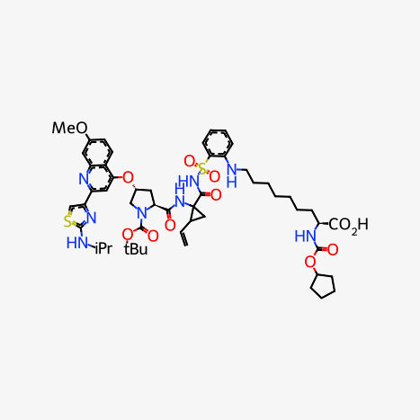 C=CC1CC1(NC(=O)[C@@H]1C[C@@H](Oc2cc(-c3csc(NC(C)C)n3)nc3cc(OC)ccc23)CN1C(=O)OC(C)(C)C)C(=O)NS(=O)(=O)c1ccccc1NCCCCCCC[C@H](NC(=O)OC1CCCC1)C(=O)O